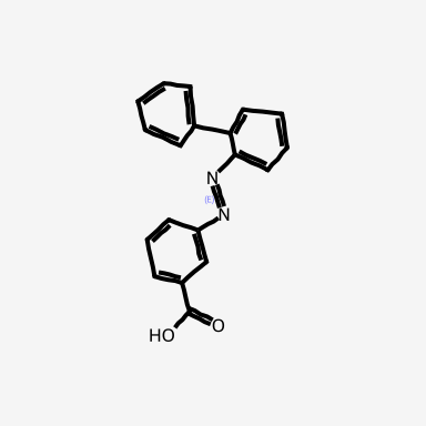 O=C(O)c1cccc(/N=N/c2ccccc2-c2ccccc2)c1